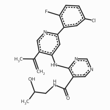 C=C(C)c1cnc(-c2cc(Cl)ccc2F)cc1Nc1ncncc1C(=O)NCC(C)O